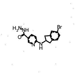 NNC(=O)c1ccc(NC2Cc3ccc(Br)cc3C2)nc1